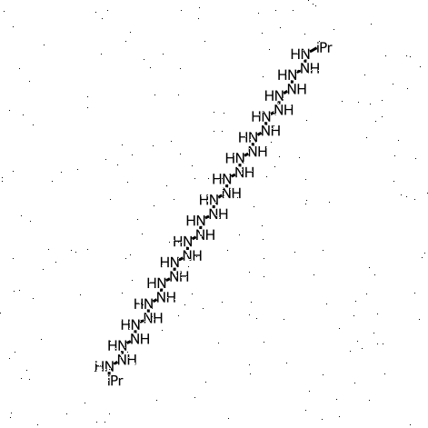 CC(C)NNNNNNNNNNNNNNNNNNNNNNNNNNNNNNNC(C)C